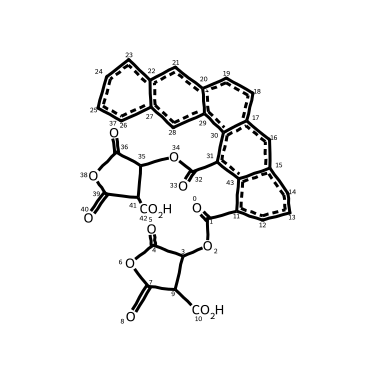 O=C(OC1C(=O)OC(=O)C1C(=O)O)c1cccc2cc3ccc4cc5ccccc5cc4c3c(C(=O)OC3C(=O)OC(=O)C3C(=O)O)c12